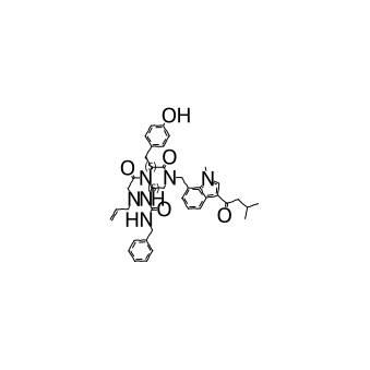 C=CCN1CC(=O)N2[C@@H](Cc3ccc(O)cc3)C(=O)N(Cc3cccc4c(C(=O)CC(C)C)cn(C)c34)C[C@@H]2N1C(=O)NCc1ccccc1